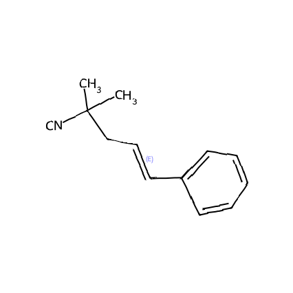 [C-]#[N+]C(C)(C)C/C=C/c1ccccc1